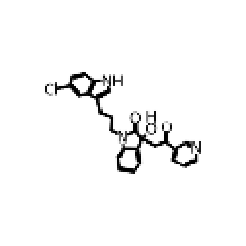 O=C(CC1(O)C(=O)N(CCCc2c[nH]c3ccc(Cl)cc23)c2ccccc21)c1cccnc1